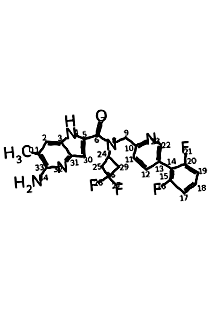 Cc1cc2[nH]c(C(=O)N(Cc3ccc(-c4c(F)cccc4F)cn3)C3CC(F)(F)C3)cc2nc1N